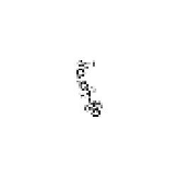 O=C(NCCNC(=O)c1ccccc1Cl)c1ccc(O[C@H]2CC[C@@H](C(=O)O)CC2)cc1